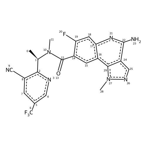 C[C@H](c1ncc(C(F)(F)F)cc1C#N)N(C)C(=O)c1cc2c(cc1F)nc(N)c1cnn(C)c12